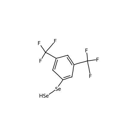 FC(F)(F)c1cc([Se][SeH])cc(C(F)(F)F)c1